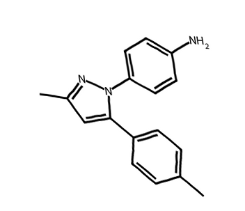 Cc1ccc(-c2cc(C)nn2-c2ccc(N)cc2)cc1